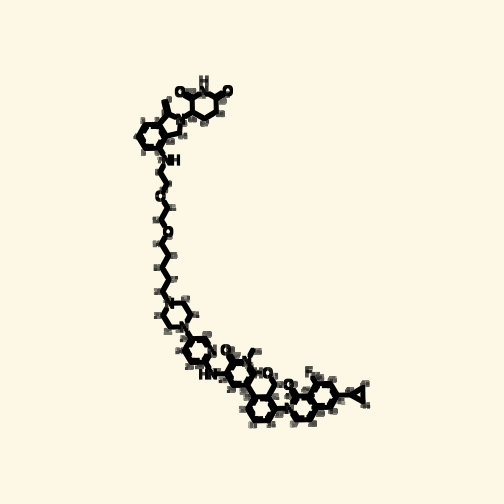 C=C1c2cccc(NCCOCCOCCCCCN3CCN(c4ccc(Nc5cc(-c6cccc(-n7ccc8cc(C9CC9)cc(F)c8c7=O)c6CO)cn(C)c5=O)nc4)CC3)c2CN1C1CCC(=O)NC1=O